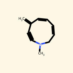 C=C1C#CN(C)C/C=C\C=C/1